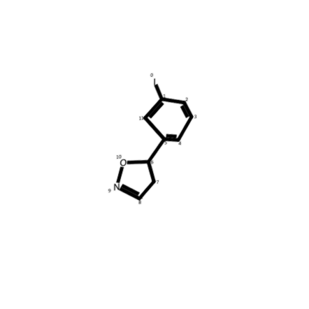 Ic1cccc(C2C[C]=NO2)c1